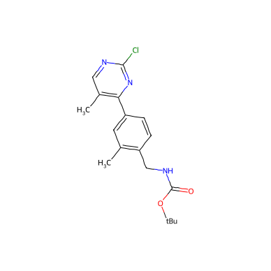 Cc1cc(-c2nc(Cl)ncc2C)ccc1CNC(=O)OC(C)(C)C